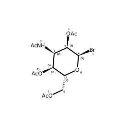 CC(=O)N[C@H]1[C@@H](OC(C)=O)[C@@H](Br)O[C@H](COC(C)=O)[C@H]1OC(C)=O